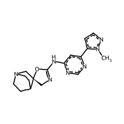 Cn1nccc1-c1cc(NC2=NC[C@@]3(CN4CCC3CC4)O2)ncn1